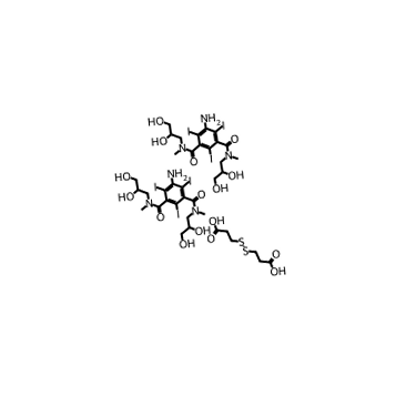 CN(CC(O)CO)C(=O)c1c(I)c(N)c(I)c(C(=O)N(C)CC(O)CO)c1I.CN(CC(O)CO)C(=O)c1c(I)c(N)c(I)c(C(=O)N(C)CC(O)CO)c1I.O=C(O)CCSSCCC(=O)O